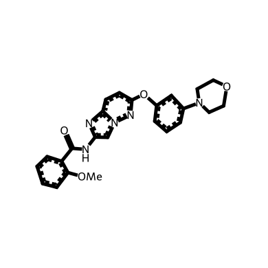 COc1ccccc1C(=O)Nc1cn2nc(Oc3cccc(N4CCOCC4)c3)ccc2n1